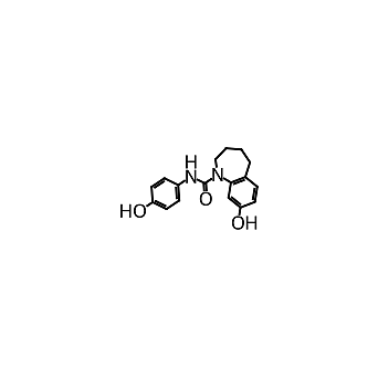 O=C(Nc1ccc(O)cc1)N1CCCCc2ccc(O)cc21